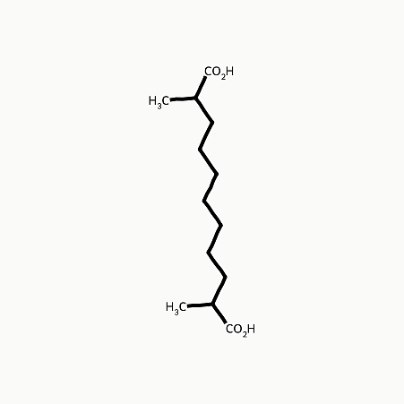 CC(CCCCCCCC(C)C(=O)O)C(=O)O